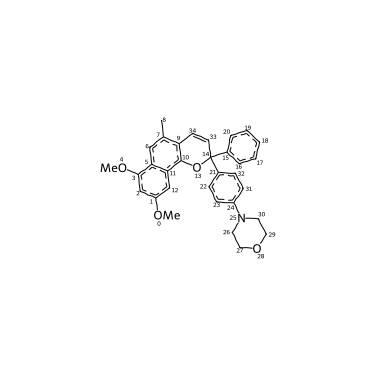 COc1cc(OC)c2cc(C)c3c(c2c1)OC(c1ccccc1)(c1ccc(N2CCOCC2)cc1)C=C3